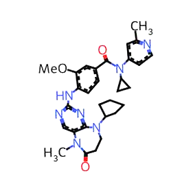 COc1cc(C(=O)N(c2ccnc(C)c2)C2CC2)ccc1Nc1ncc2c(n1)N(C1CCCC1)CCC(=O)N2C